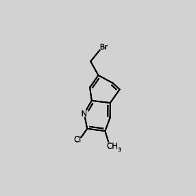 Cc1cc2ccc(CBr)cc2nc1Cl